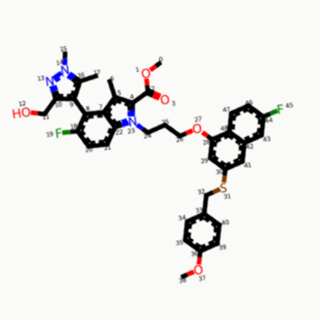 COC(=O)c1c(C)c2c(-c3c(CO)nn(C)c3C)c(F)ccc2n1CCCOc1cc(SCc2ccc(OC)cc2)cc2cc(F)ccc12